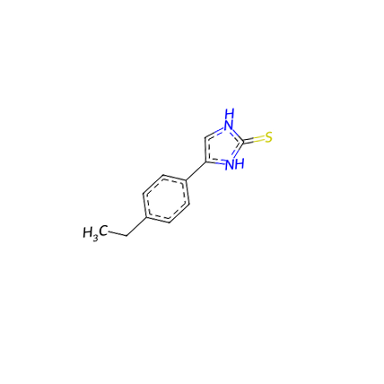 CCc1ccc(-c2c[nH]c(=S)[nH]2)cc1